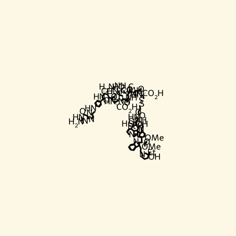 CCC1(O)CCCN(CCc2c([C@@H](C(=O)OC)c3cc4c(cc3OC)N(C)[C@H]3[C@@](O)(C(=O)NNC(=O)OCCSSC[C@H](NC(=O)[C@H](CC(=O)O)NC(=O)[C@H](CC(=O)O)NC(=O)[C@H](CCCNC(=N)N)NC(=O)[C@H](CC(=O)O)NC(=O)CC[C@H](NC(=O)c5ccc(NCc6cnc7nc(N)[nH]c(=O)c7n6)cc5)C(=O)O)C(=O)O)[C@H](O)[C@]5(CC)C=CCN6CC[C@]43[C@@H]65)[nH]c3ccccc23)C1